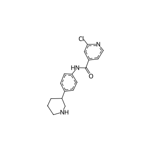 O=C(Nc1ccc(C2CCCNC2)cc1)c1ccnc(Cl)c1